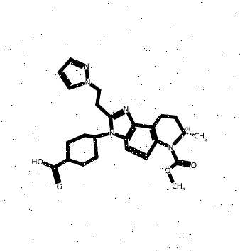 COC(=O)N1c2ccc3c(nc(CCn4cccn4)n3C3CCC(C(=O)O)CC3)c2CC[C@@H]1C